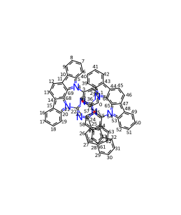 c1ccc(-n2c3ccccc3c3ccc4c5ccccc5n(-c5nc(-c6ccc7ccccc7c6)nc(-n6c7ccccc7c7ccc8c9ccccc9n(-c9cccc%10ccccc9%10)c8c76)n5)c4c32)cc1